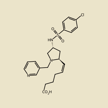 O=C(O)CCC/C=C\[C@@H]1C[C@@H](NS(=O)(=O)c2ccc(Cl)cc2)CN1Cc1cccnc1